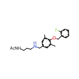 CC(=O)NCCCNCc1cc(C)c(OCc2ccccc2F)c(C)c1